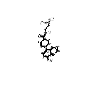 CCN(CC)CCNC(=O)C1CCN(c2ccc(C#N)c3ncncc23)CC1